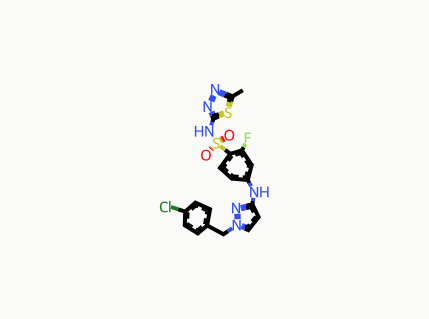 Cc1nnc(NS(=O)(=O)c2ccc(Nc3ccn(Cc4ccc(Cl)cc4)n3)cc2F)s1